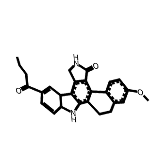 CCCC(=O)C1=CC2c3c4c(c5c(c3NC2C=C1)CCc1cc(OC)ccc1-5)C(=O)NC4